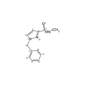 CNC(=O)c1ccn(Cc2ccccc2)n1